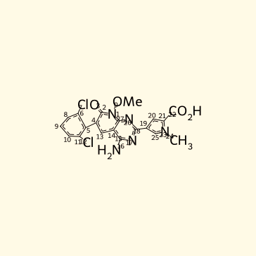 COn1c(=O)c(-c2c(Cl)cccc2Cl)cc2c(N)nc(-c3cc(C(=O)O)n(C)c3)nc21